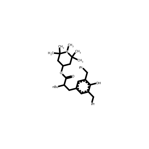 CCCCC(Cc1cc(CC(C)C)c(O)c(CC(C)C)c1)C(=O)OC1CC(C)(C)N(C)C(C)(C)C1